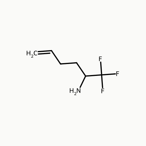 C=CCCC(N)C(F)(F)F